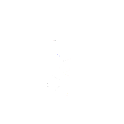 CC(C)(C)CC(C)(C)C(=O)ONC(=O)OS(=O)(=O)c1ccccc1S(C)(=O)=O